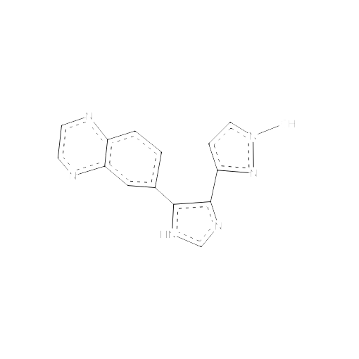 Cn1ccc(-c2nc[nH]c2-c2ccc3nccnc3c2)n1